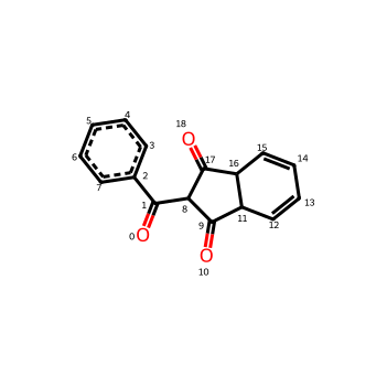 O=C(c1ccccc1)C1C(=O)C2C=CC=CC2C1=O